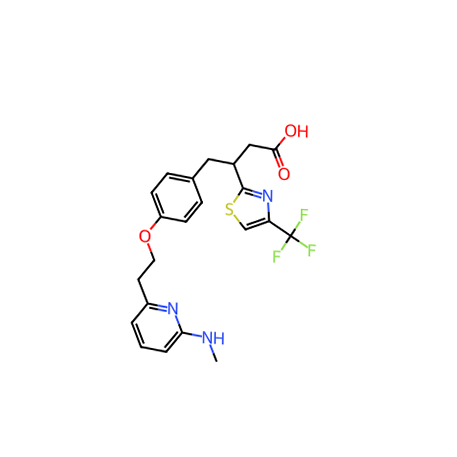 CNc1cccc(CCOc2ccc(CC(CC(=O)O)c3nc(C(F)(F)F)cs3)cc2)n1